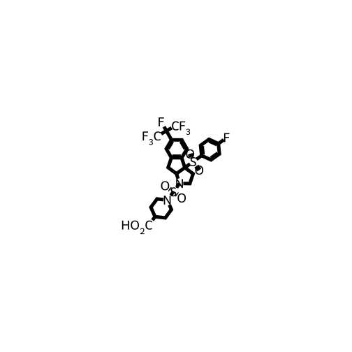 O=C(O)C1CCN(S(=O)(=O)N2CCC3(S(=O)(=O)c4ccc(F)cc4)c4ccc(C(F)(C(F)(F)F)C(F)(F)F)cc4CC23)CC1